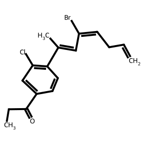 C=CC/C=C(Br)\C=C(/C)c1ccc(C(=O)CC)cc1Cl